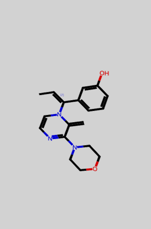 C=C1C(N2CCOCC2)=NC=CN1/C(=C\C)c1cccc(O)c1